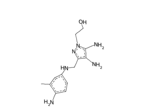 Cc1cc(NCc2nn(CCO)c(N)c2N)ccc1N